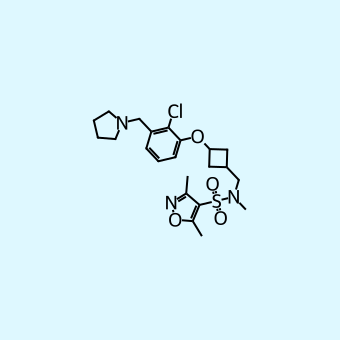 Cc1noc(C)c1S(=O)(=O)N(C)CC1CC(Oc2cccc(CN3CCCC3)c2Cl)C1